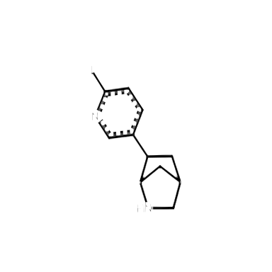 Clc1ccc(C2CC3CNC2C3)cn1